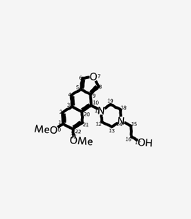 COc1cc2cc3cocc3c(N3CCN(CCO)CC3)c2cc1OC